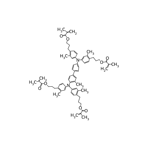 C=C(C)C(=O)OCCCc1ccc(N(c2ccc(-c3ccc(N(c4ccc(CCCOC(=O)C(=C)C)c(C)c4)c4ccc(CCCOC(=O)C(=C)C)c(C)c4)c(C)c3)cc2)c2ccc(CCCOC(=O)C(=C)C)c(C)c2)cc1C